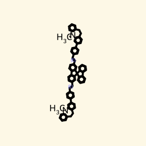 CN1c2ccccc2CCc2ccc(-c3ccc(/C=C/c4ccc5c(c4)C4(c6ccccc6-c6ccccc64)c4cc(/C=C/c6ccc(-c7ccc8c(c7)N(C)c7ccccc7CC8)cc6)ccc4-5)cc3)cc21